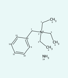 CC[N+](CC)(CC)Cc1ccccc1.N